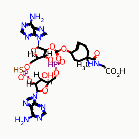 CC1(C(=O)NCC(=O)O)CC/C=C/C(OC(=O)O[C@@H]2[C@@H]3O[PH](=O)OC[C@H]4O[C@@H](n5cnc6c(N)ncnc65)[C@H](OP(=O)(S)OC[C@H]3O[C@H]2n2cnc3c(N)ncnc32)[C@@H]4O)CC1